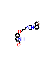 O=CC1C=Cc2ccc(OCCCCN3CCN(c4cccc5sccc45)CC3)cc2N1